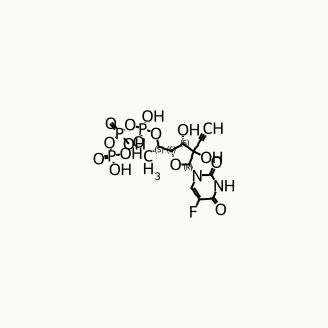 C#CC1(O)[C@@H](O)[C@@H]([C@H](C)OP(=O)(O)OP(=O)(O)OP(=O)(O)O)O[C@H]1n1cc(F)c(=O)[nH]c1=O